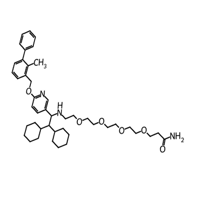 Cc1c(COc2ccc(C(NCCOCCOCCOCCOCCC(N)=O)C(C3CCCCC3)C3CCCCC3)cn2)cccc1-c1ccccc1